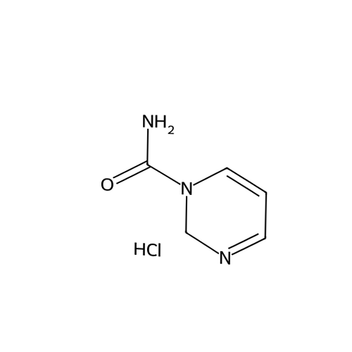 Cl.NC(=O)N1C=CC=NC1